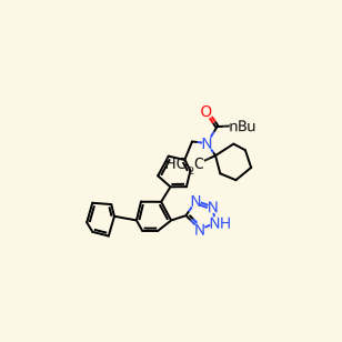 CCCCC(=O)N(Cc1ccc(-c2cc(-c3ccccc3)ccc2-c2nn[nH]n2)cc1)C1(C(=O)O)CCCCC1